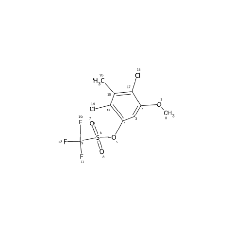 COc1cc(OS(=O)(=O)C(F)(F)F)c(Cl)c(C)c1Cl